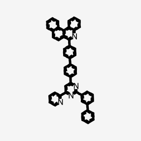 c1ccc(-c2cccc(-c3nc(-c4ccc(-c5ccc(-c6nc7ccccc7c7c6ccc6ccccc67)cc5)cc4)cc(-c4ccccn4)n3)c2)cc1